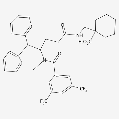 CCOC(=O)C1(CNC(=O)CCC(C(c2ccccc2)c2ccccc2)N(C)C(=O)c2cc(C(F)(F)F)cc(C(F)(F)F)c2)CCCCC1